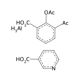 CC(=O)Oc1c(C(C)=O)cccc1C(=O)O.O=C(O)c1cccnc1.[AlH3]